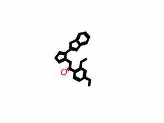 CCc1ccc(C(=O)CC2=CCC=C2C2=Cc3ccccc3C2)c(CC)c1